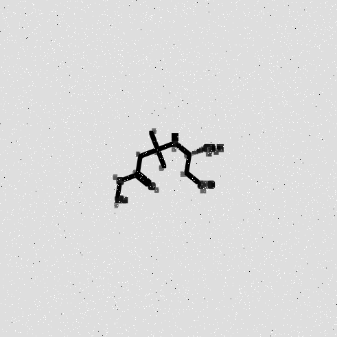 CC(C)(CC(=O)OC(C)(C)C)N[C@@H](CC=O)C(=O)O